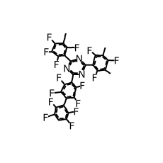 Cc1c(F)c(C)c(F)c(-c2nc(-c3c(F)c(C)c(F)c(F)c3F)nc(-c3c(F)c(F)c(-c4c(F)c(F)cc(F)c4F)c(F)c3F)n2)c1F